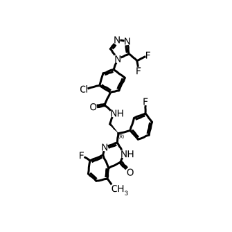 Cc1ccc(F)c2nc([C@@H](CNC(=O)c3ccc(-n4cnnc4C(F)F)cc3Cl)c3cccc(F)c3)[nH]c(=O)c12